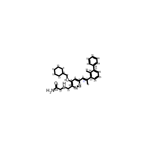 C/C(=C\c1cc(OCC2CCCCC2)c(CNCC(N)=O)nn1)c1cccc(-c2ccccc2)c1C